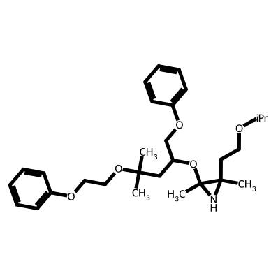 CC(C)OCCC1(C)NC1(C)OC(COc1ccccc1)CC(C)(C)OCCOc1ccccc1